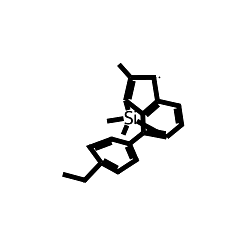 CCc1ccc(-c2c3ccc4c2C(=C(C)[CH]4)[Si]3(C)C)cc1